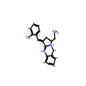 CCC1C/C(=C\c2ccccc2Cl)C2=Nc3ccccc3CN21